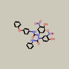 O=C(Nc1ccccc1)N(c1ccc(O)c([N+](=O)[O-])c1)N(C(=O)Nc1ccc(Oc2ccccc2)cc1)c1ccc(O)c([N+](=O)[O-])c1